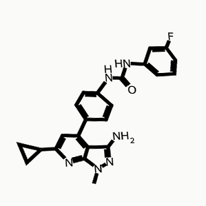 Cn1nc(N)c2c(-c3ccc(NC(=O)Nc4cccc(F)c4)cc3)cc(C3CC3)nc21